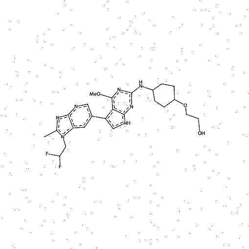 COc1nc(NC2CCC(OCCO)CC2)nc2[nH]cc(-c3cnc4nc(C)n(CC(F)F)c4c3)c12